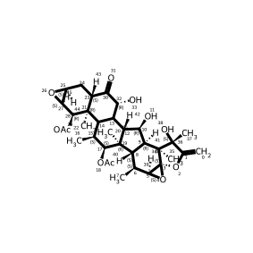 C=C1O[C@]23O[C@H]2[C@@H](C)[C@H]2[C@@H]([C@H](O)[C@H]4C5C([C@H](C)[C@H](OC(C)=O)[C@]24C)[C@]2(C)[C@H](C[C@@H]4O[C@@H]4[C@@H]2OC(C)=O)C(=O)[C@@H]5O)[C@@]3(C)[C@]1(C)O